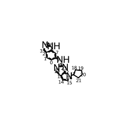 c1cc2cn[nH]c2cc1Nc1ncc2ccn(C3CCCC3)c2n1